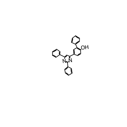 Oc1ccc(-c2cc(-c3ccccc3)nc(-c3ccccc3)n2)cc1-c1ccccc1